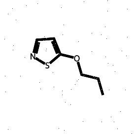 CCCOc1ccns1